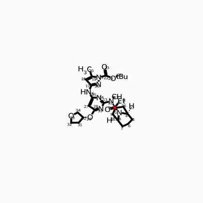 CCC(=O)N1[C@@H]2CCC[C@H]1C[C@@H](N(C)c1nc(Nc3cc(C)n(C(=O)OC(C)(C)C)n3)cc(O[C@@H]3CCOC3)n1)C2